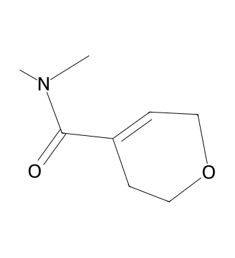 CN(C)C(=O)C1=CCOCC1